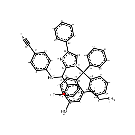 CCOc1cc(O)c(F)c(C(Nc2ccc(C#N)cc2)c2nc(-c3ccccc3)cn2C(c2ccccc2)(c2ccccc2)c2ccccc2)c1